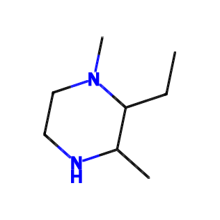 CCC1C(C)NCCN1C